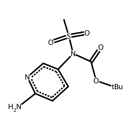 CC(C)(C)OC(=O)N(c1ccc(N)nc1)S(C)(=O)=O